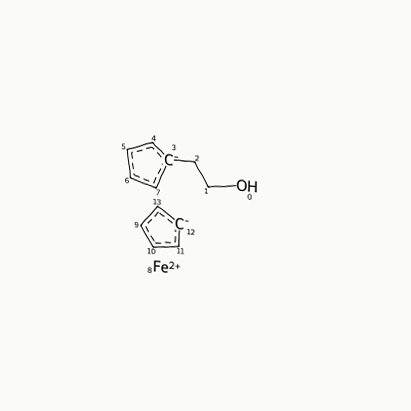 OCC[c-]1cccc1.[Fe+2].c1cc[cH-]c1